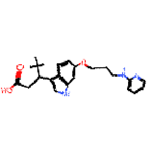 CC(C)(C)C(CC(=O)O)c1c[nH]c2cc(OCCCNc3ccccn3)ccc12